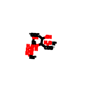 CCO.O.O.O.O.O=C([O-])C(O)C(O)C(=O)[O-].[K+].[Na+]